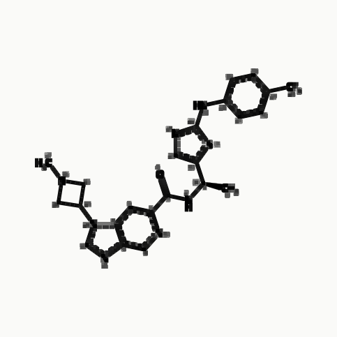 C[C@@H](NC(=O)c1cc2c(cn1)ncn2C1CN(C)C1)c1cnc(Nc2ccc(C(F)(F)F)cc2)s1